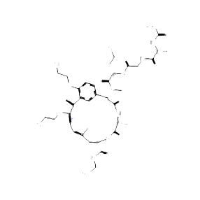 C=C1/C(OCCN)=C\C=C(/C)C[C@@H](C(=O)NCC#N)NC(=O)[C@H](C)NC(=O)[C@@H](N(C)C(=O)[C@H](CCN)NC(=O)CNC(=O)[C@H](C)NC(=O)CCCCCCCCC)c2ccc(OCCN)c1c2